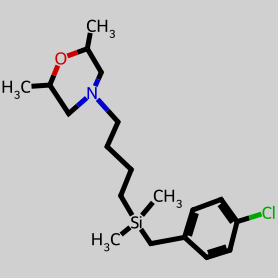 CC1CN(CCCC[Si](C)(C)Cc2ccc(Cl)cc2)CC(C)O1